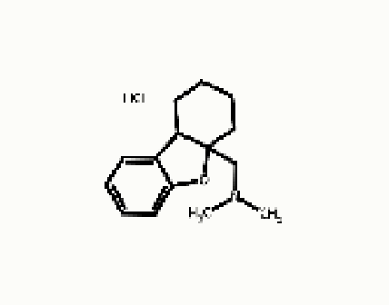 CN(C)CC12CCCCC1c1ccccc1O2.Cl